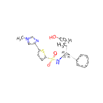 C[C@H]1[C@H](NS(=O)(=O)c2ccc(-c3cn(C)cn3)s2)[C@H]1c1ccccc1.O=C(O)O